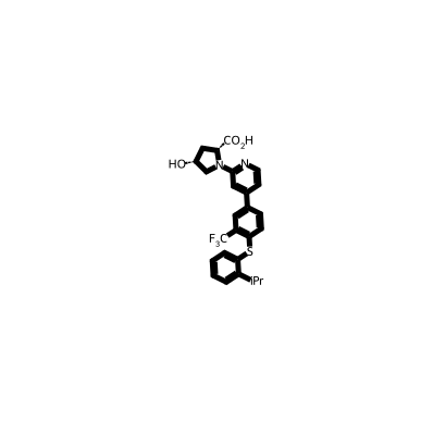 CC(C)c1ccccc1Sc1ccc(-c2ccnc(N3C[C@H](O)C[C@@H]3C(=O)O)c2)cc1C(F)(F)F